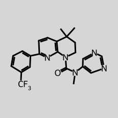 CN(C(=O)N1CCC(C)(C)c2ccc(-c3cccc(C(F)(F)F)c3)nc21)c1cncnc1